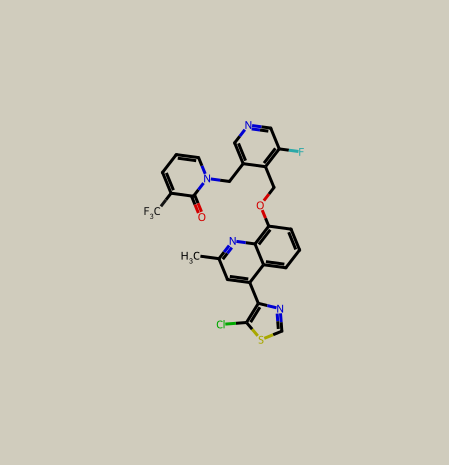 Cc1cc(-c2ncsc2Cl)c2cccc(OCc3c(F)cncc3Cn3cccc(C(F)(F)F)c3=O)c2n1